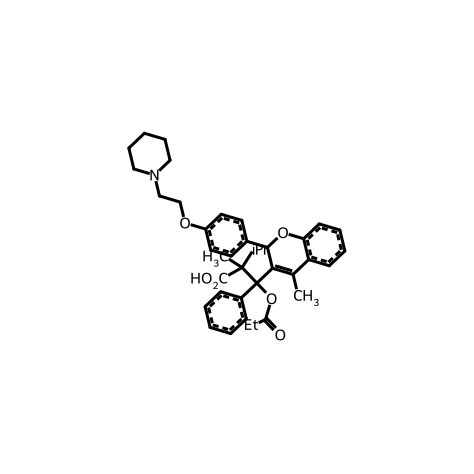 CCC(=O)OC(C1=C(C)c2ccccc2OC1c1ccc(OCCN2CCCCC2)cc1)(c1ccccc1)C(C)(C(=O)O)C(C)C